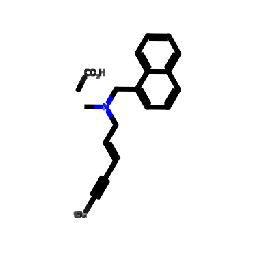 CC(=O)O.CN(CC=CC#CC(C)(C)C)Cc1cccc2ccccc12